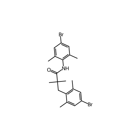 Cc1cc(Br)cc(C)c1CC(C)(C)C(=O)Nc1c(C)cc(Br)cc1C